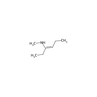 CC/C=C(/CC)NC